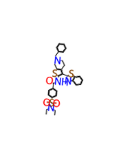 CCN(CC)S(=O)(=O)c1ccc(C(=O)Nc2sc3c(c2-c2nc4ccccc4s2)CCN(Cc2ccccc2)C3)cc1